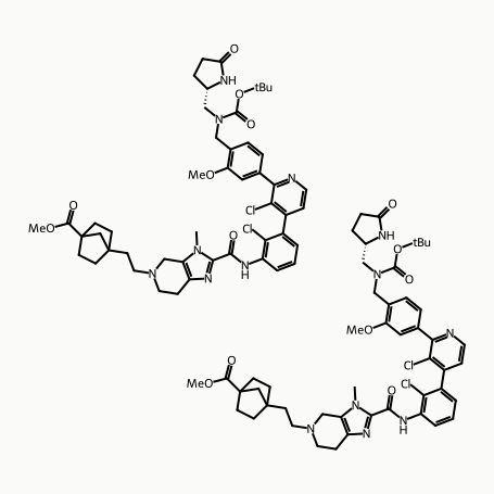 COC(=O)C12CCC(CCN3CCc4nc(C(=O)Nc5cccc(-c6ccnc(-c7ccc(CN(C[C@@H]8CCC(=O)N8)C(=O)OC(C)(C)C)c(OC)c7)c6Cl)c5Cl)n(C)c4C3)(CC1)C2.COC(=O)C12CCC(CCN3CCc4nc(C(=O)Nc5cccc(-c6ccnc(-c7ccc(CN(C[C@@H]8CCC(=O)N8)C(=O)OC(C)(C)C)c(OC)c7)c6Cl)c5Cl)n(C)c4C3)(CC1)C2